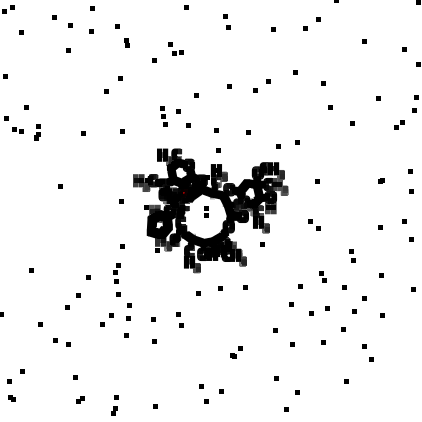 CC[C@H]1OC(=O)[C@H](C)[C@@H](OC2CC(C)(OC)C(O)C(C)O2)[C@H](C)[C@@H](OC2OC(C)CC(N(C)C)C2OC(=S)Oc2ccccc2)[C@@](C)(O)C[C@@H](C)CN(C)[C@H](C)[C@@H](O)[C@]1(C)O